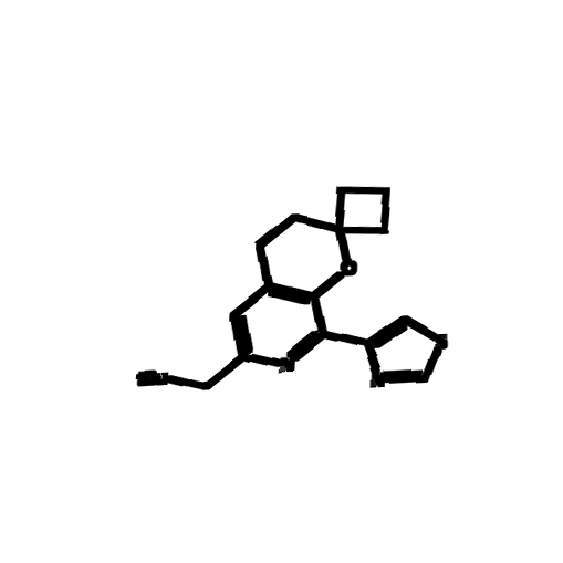 CC(C)(C)Cc1cc2c(c(-c3cscn3)n1)OC1(CCC1)CC2